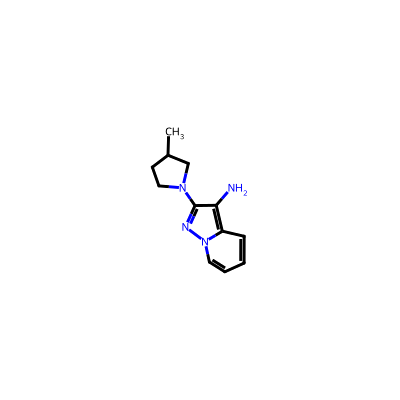 CC1CCN(c2nn3ccccc3c2N)C1